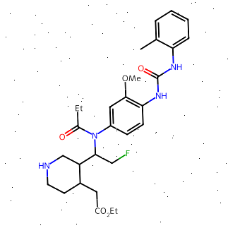 CCOC(=O)CC1CCNCC1C(CF)N(C(=O)CC)c1ccc(NC(=O)Nc2ccccc2C)c(OC)c1